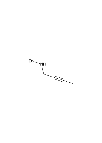 CC#CCNCC